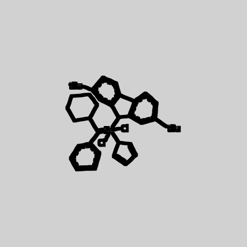 CC(C)(C)c1ccc2c(c1)[CH]([Zr]([Cl])([Cl])(=[C](c1ccccc1)C1CCCCC1)[CH]1C=CC=C1)c1cc(C(C)(C)C)ccc1-2